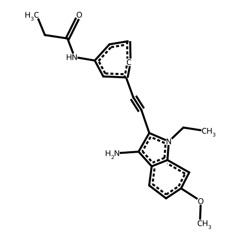 CCC(=O)Nc1cccc(C#Cc2c(N)c3ccc(OC)cc3n2CC)c1